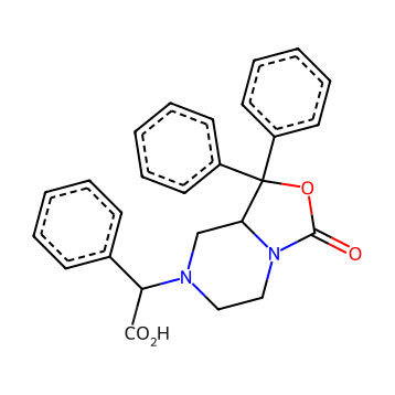 O=C(O)C(c1ccccc1)N1CCN2C(=O)OC(c3ccccc3)(c3ccccc3)C2C1